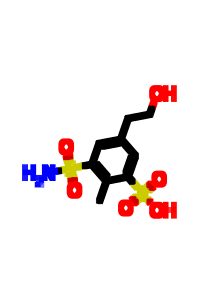 Cc1c(S(N)(=O)=O)cc(CCO)cc1S(=O)(=O)O